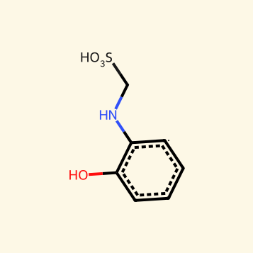 O=S(=O)(O)CNc1[c]cccc1O